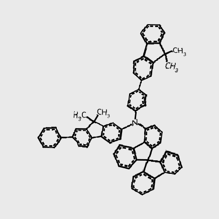 CC1(C)c2ccccc2-c2ccc(-c3ccc(N(c4ccc5c(c4)C(C)(C)c4cc(-c6ccccc6)ccc4-5)c4cccc5c4-c4ccccc4C54c5ccccc5-c5ccccc54)cc3)cc21